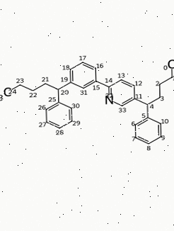 CCCCC(c1ccccc1)c1ccc(-c2cccc(C(CCCC)c3ccccc3)c2)nc1